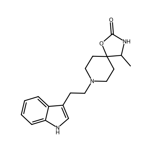 CC1NC(=O)OC12CCN(CCc1c[nH]c3ccccc13)CC2